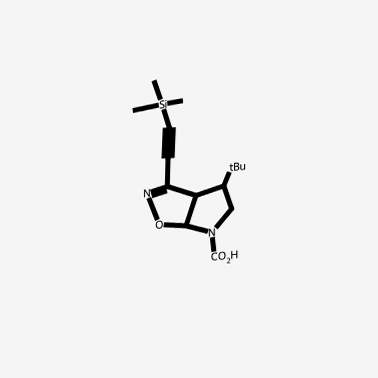 CC(C)(C)C1CN(C(=O)O)C2ON=C(C#C[Si](C)(C)C)C21